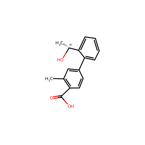 Cc1cc(-c2ccccc2[C@@H](C)O)ccc1C(=O)O